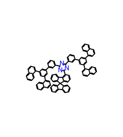 c1cc(-c2cc(-c3cccc4ccccc34)cc(-c3cccc4ccccc34)c2)cc(-c2nc(-c3cccc(-c4cc(-c5cccc6ccccc56)cc(-c5cccc6ccccc56)c4)c3)nc(-c3cccc4c3-c3ccccc3C43c4ccccc4-c4ccccc43)n2)c1